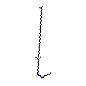 CCCCC/C=C\C/C=C\CCCCCCCC(=O)OCCCCCCCCCCCCCCCCCCCCCCCCCCC(C)C